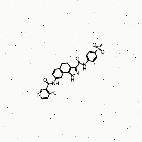 CS(=O)(=O)c1ccc(NC(=O)c2n[nH]c3c2CCc2ccc(NC(=O)c4cnccc4Cl)cc2-3)cc1